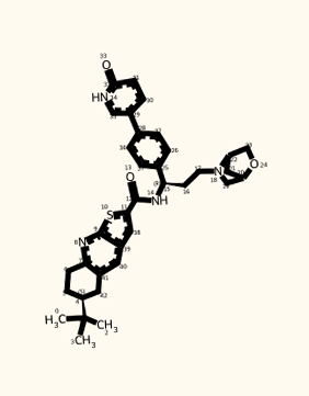 CC(C)(C)[C@H]1CCc2nc3sc(C(=O)N[C@H](CCN4CC5CC4CO5)c4ccc(-c5ccc(=O)[nH]c5)cc4)cc3cc2C1